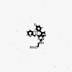 COCCNc1nc(NCc2ccccn2)c2c(-c3ccc(F)cc3)csc2n1